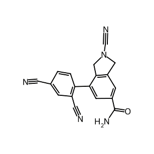 N#Cc1ccc(-c2cc(C(N)=O)cc3c2CN(C#N)C3)c(C#N)c1